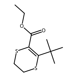 CCOC(=O)C1=C(C(C)(C)C)SCCS1